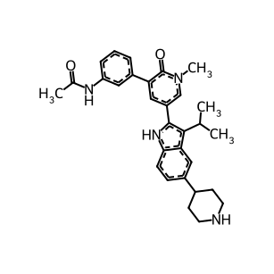 CC(=O)Nc1cccc(-c2cc(-c3[nH]c4ccc(C5CCNCC5)cc4c3C(C)C)cn(C)c2=O)c1